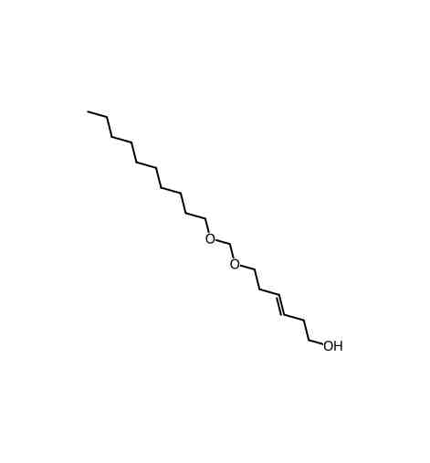 CCCCCCCCCCOCOCC/C=C/CCO